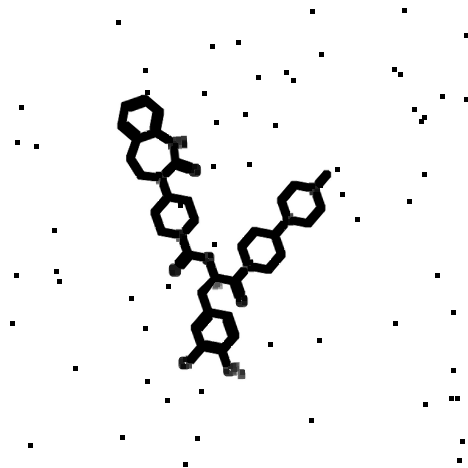 CN1CCN(C2CCN(C(=O)[C@@H](Cc3ccc(C(F)(F)F)c(Cl)c3)OC(=O)N3CCC(N4CCc5ccccc5NC4=O)CC3)CC2)CC1